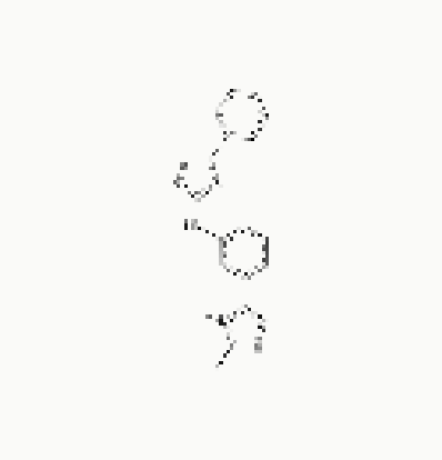 Cc1ncc(-c2cccc(Nc3ncc(-c4ccccc4)s3)c2)n1C